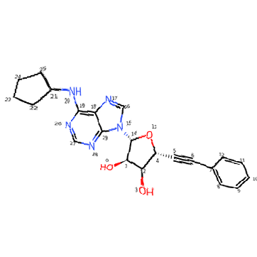 O[C@@H]1[C@H](O)[C@@H](C#Cc2ccccc2)O[C@H]1n1cnc2c(NC3CCCC3)ncnc21